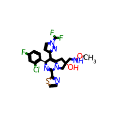 CONC[C@]1(O)CC2=C(c3ccn(C(F)F)n3)[C@H](c3ccc(F)cc3Cl)N=C(c3nccs3)N2C1